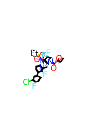 CCS(=O)(=O)N[C@@H]1[C@H](Cc2cccc(-c3ccc(F)c(Cl)c3)c2F)N(C(=O)[C@H]2CCO2)CC1(F)F